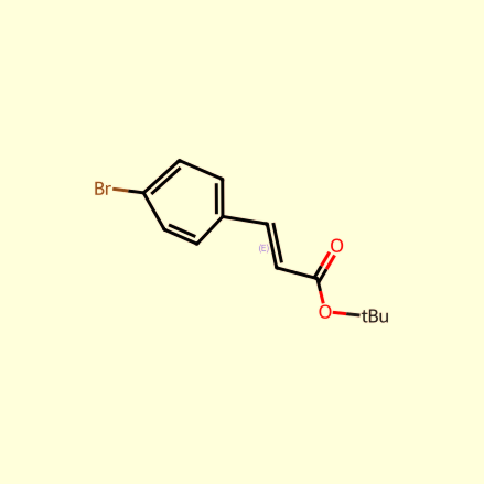 CC(C)(C)OC(=O)/C=C/c1ccc(Br)cc1